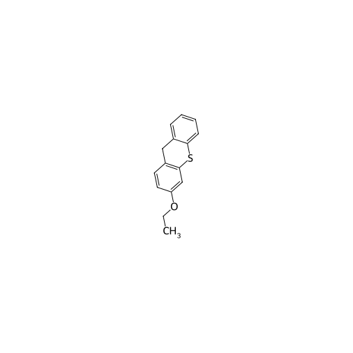 CCOc1ccc2c(c1)Sc1ccccc1C2